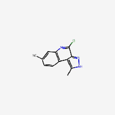 Cc1[nH]nc2c(Cl)nc3cc(C#N)ccc3c12